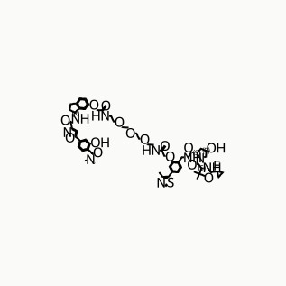 Cc1ncsc1-c1ccc(CNC(=O)[C@@H]2C[C@@H](O)CN2C(=O)[C@@H](NC(=O)C2(F)CC2)C(C)(C)C)c(OCC(=O)NCCOCCOCCOCCNC(=O)COc2ccc3c(c2)[C@H](NC(=O)c2cc(-c4ccc(C(=O)N(C)C)c(O)c4)on2)CC3)c1